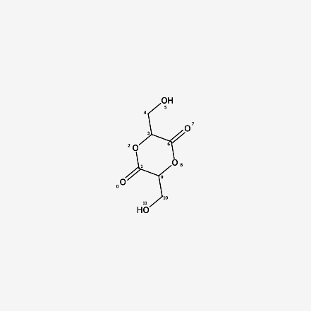 O=C1OC(CO)C(=O)OC1CO